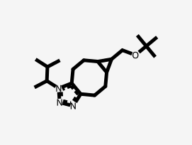 CC(C)C(C)n1nnc2c1CCC1C(CC2)C1COC(C)(C)C